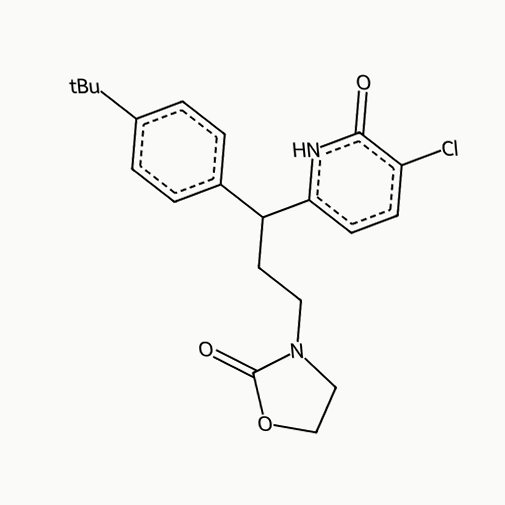 CC(C)(C)c1ccc(C(CCN2CCOC2=O)c2ccc(Cl)c(=O)[nH]2)cc1